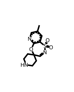 Cc1cnc2c(c1)S(=O)(=O)N=CC1(CCNCC1)O2